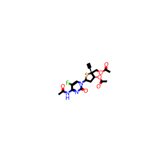 C#C[C@]1(COC(C)=O)SC(n2cc(F)c(NC(C)=O)nc2=O)C[C@@H]1OC(C)=O